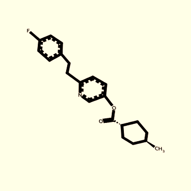 C[C@H]1CC[C@H](C(=O)Oc2ccc(CCc3ccc(F)cc3)nc2)CC1